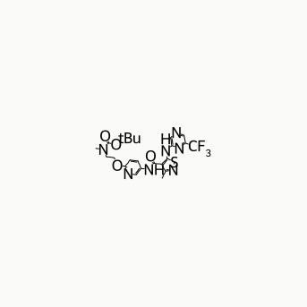 Cc1nsc(Nc2cncc(C(F)(F)F)n2)c1C(=O)Nc1ccc(OCCN(C)C(=O)OC(C)(C)C)nc1